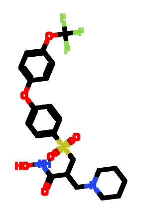 O=C(NO)C(CN1CCCCC1)CS(=O)(=O)c1ccc(Oc2ccc(OC(F)(F)F)cc2)cc1